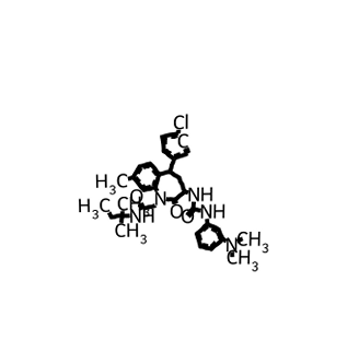 CCC(C)(C)NC(=O)CN1C(=O)C(NC(=O)Nc2cccc(N(C)C)c2)CC(c2ccc(Cl)cc2)c2ccc(C)cc21